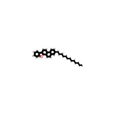 CCCCCCCCCCCCCc1ccc2c(ccc3c2ccc2c4ccccc4oc23)c1